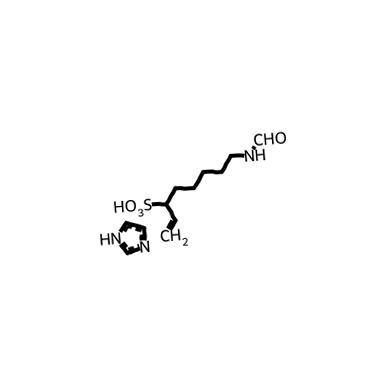 C=CC(CCCCCNC=O)S(=O)(=O)O.c1c[nH]cn1